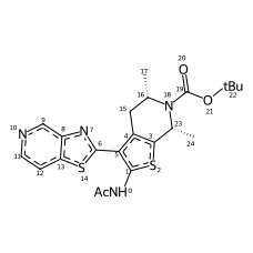 CC(=O)Nc1sc2c(c1-c1nc3cnccc3s1)C[C@H](C)N(C(=O)OC(C)(C)C)[C@@H]2C